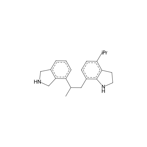 CC(C)c1ccc(CC(C)c2cccc3c2CNC3)c2c1CCN2